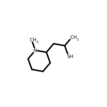 CC(S)CC1CCCCN1C